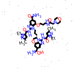 CCn1nc(C)cc1C(=O)Nc1nc2cc(C(N)=O)cc(OCCCNC(=O)CN3CCOCC3)c2n1CCC[C@H]1COc2cc(C(N)O)cc3nc(NC(=O)c4cc(C)nn4CC)n1c23